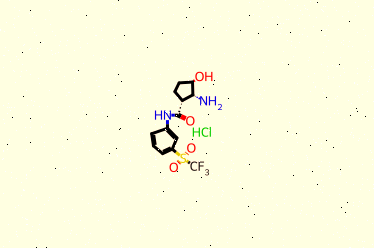 Cl.N[C@H]1[C@H](O)CC[C@H]1C(=O)Nc1cccc(S(=O)(=O)C(F)(F)F)c1